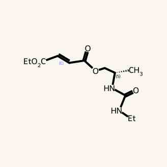 CCNC(=O)N[C@@H](C)COC(=O)/C=C/C(=O)OCC